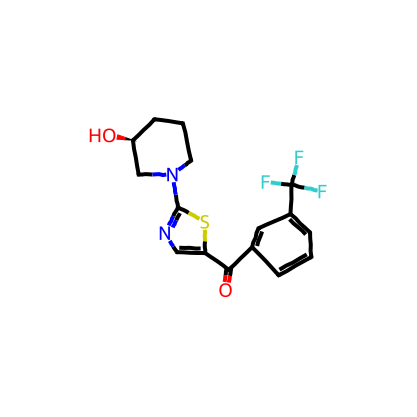 O=C(c1cccc(C(F)(F)F)c1)c1cnc(N2CCC[C@H](O)C2)s1